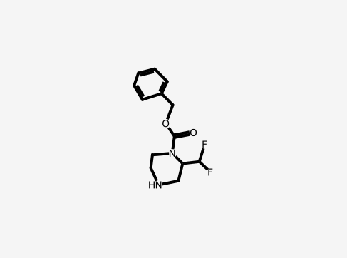 O=C(OCc1ccccc1)N1CCNCC1C(F)F